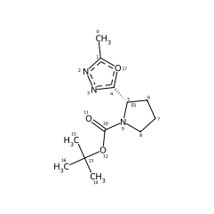 Cc1nnc([C@@H]2CCCN2C(=O)OC(C)(C)C)o1